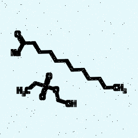 CCCCCCCCCCC[C](=O)[Na].CCS(=O)(=O)OCO